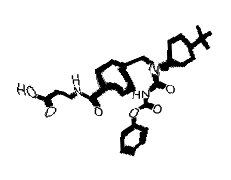 CC(C)(C)C1CCC(N(Cc2ccc(C(=O)NCCC(=O)O)cc2)C(=O)NC(=O)Oc2ccccc2)CC1